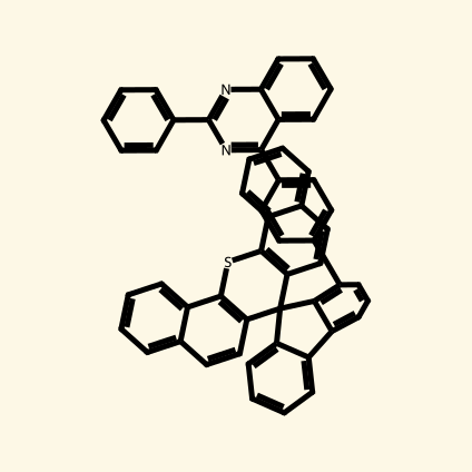 c1ccc(-c2nc(-c3ccc(-c4cccc5c4C4(c6ccccc6-5)c5ccc6ccccc6c5Sc5c4ccc4ccccc54)cc3)c3ccccc3n2)cc1